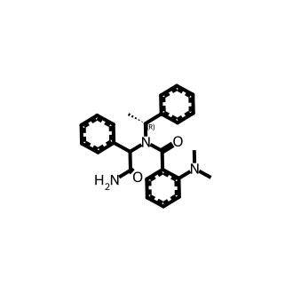 C[C@H](c1ccccc1)N(C(=O)c1ccccc1N(C)C)C(C(N)=O)c1ccccc1